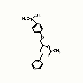 CC(I)OC(COc1ccc(N(C)C)cc1)CSc1ccccc1